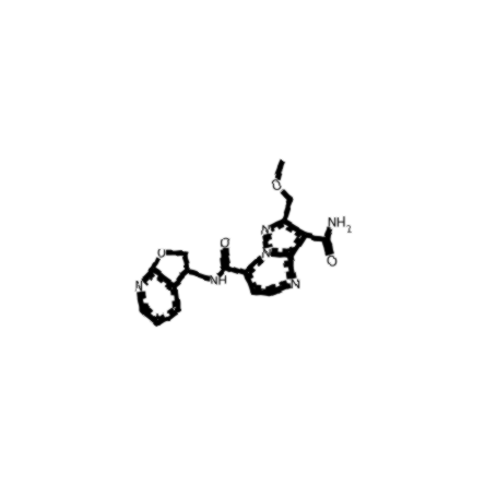 COCc1nn2c(C(=O)NC3COc4ncccc43)ccnc2c1C(N)=O